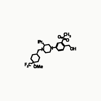 CO[C@]1(C(F)(F)F)CC[C@@H](CN2CCN(c3ccc(CO)c(S(C)(=O)=O)c3)C[C@@H]2C(C)C)CC1